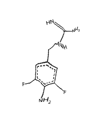 N=C(N)NCc1cc(F)c(N)c(F)c1